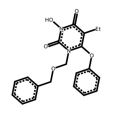 CCc1c(Oc2ccccc2)n(COCc2ccccc2)c(=O)n(O)c1=O